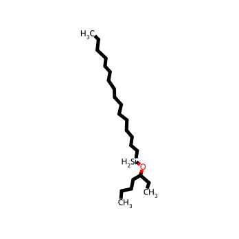 CCCCCCCCCCCCCCCC[SiH2]OC(CC)CCCC